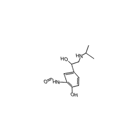 CC(C)NCC(O)c1ccc(O)c(NC=O)c1